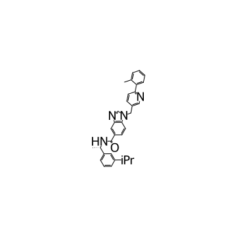 Cc1ccccc1-c1ccc(Cn2cnc3cc(C(=O)N[C@@H](C)c4cccc(C(C)C)c4)ccc32)cn1